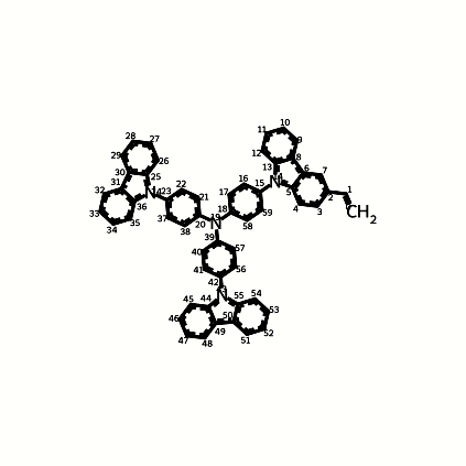 C=Cc1ccc2c(c1)c1ccccc1n2-c1ccc(N(c2ccc(-n3c4ccccc4c4ccccc43)cc2)c2ccc(-n3c4ccccc4c4ccccc43)cc2)cc1